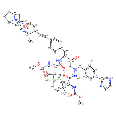 COC(=O)N[C@H](C(=O)NN(Cc1c(F)cc(-c2cnccn2)cc1F)C[C@H](O)[C@H](Cc1ccc(C#Cc2ccc(N3CC4CCC(C3)N4C3COC3)nc2C)cc1)NC(=O)[C@@H](NC(=O)OC)C(C)(C)C(F)(F)F)C(C)(C)C